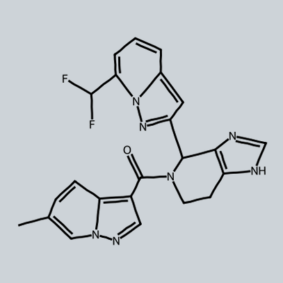 Cc1ccc2c(C(=O)N3CCc4[nH]cnc4C3c3cc4cccc(C(F)F)n4n3)cnn2c1